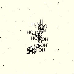 CCc1ncnc2c1ncn2[C@@H]1O[C@H](COP(=O)(O)O[C@@H]2[C@H](O)[C@@H](CO)O[C@H]2n2cnc3c(=O)[nH]c(N)nc32)[C@@H](O)[C@H]1O